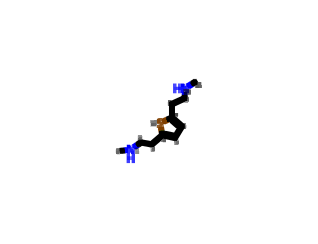 CNCCc1ccc(CCNC)s1